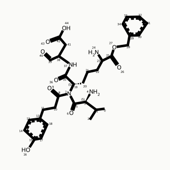 CC(C)[C@H](N)C(=O)N(C(=O)CCc1ccc(O)cc1)[C@@H](CCCC(N)C(=O)OCc1ccccc1)C(=O)NC(C=O)CC(=O)O